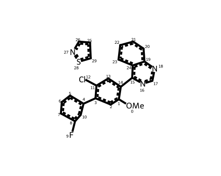 COc1cc(-c2cccc(F)c2)c(Cl)cc1-c1ncnc2ccccc12.c1cnsc1